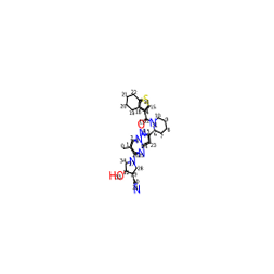 Cc1cn2nc([C@@H]3CCCCN3C(=O)c3csc4c3CCCC4)cc2nc1N1C[C@@H](C#N)[C@@H](O)C1